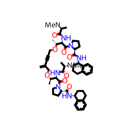 C=C(C#CCO[C@H](C)[C@H](NC(=O)[C@H](C)NC)C(=O)N1CCC[C@H]1C(=O)N[C@@H]1CCCc2ccccc21)CO[C@H](C)[C@H](NC(=O)[C@H](C)NC)C(=O)N1CCC[C@H]1C(=O)N[C@@H]1CCCc2ccccc21